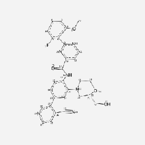 COc1cccc(F)c1-c1nccc(C(=O)Nc2ccc(-c3cnccc3C#N)cc2N2CCO[C@H](CO)C2)n1